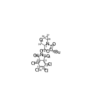 CC(C)(C)OC(=O)N1C(C(=O)ON2C(=O)c3c(Cl)c(Cl)c(Cl)c(Cl)c3C2=O)COC2CC21